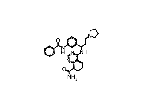 NC(=O)C1=c2ncnc(NC(CCN3CCCC3)c3cccc(NC(=O)c4ccccc4)c3)c2=CCC1